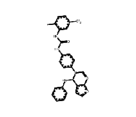 O=C(Nc1ccc(N2C=Nc3occc3C2Nc2ccccc2)cc1)Nc1cc(C(F)(F)F)ccc1F